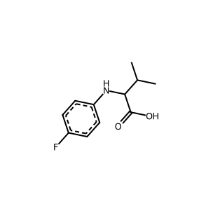 CC(C)C(Nc1ccc(F)cc1)C(=O)O